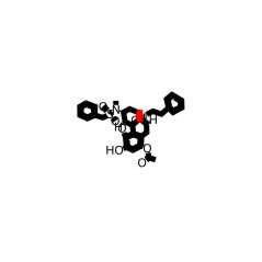 CC(=O)Oc1cc(O)c2c3c1C[C@@H]1[C@@H]4CC[C@@H](N(C)S(=O)(=O)Cc5ccccc5)[C@H](O2)[C@]34CCN1CCc1ccccc1